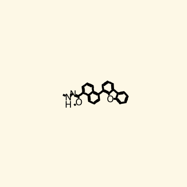 CN/N=C(\OC)c1cccc2c(-c3cccc4c3oc3ccccc34)cccc12